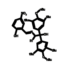 CCCCOc1c(C(C)(C)C)cc(C(O)(c2cc(C(C)(C)C)c(OCCCC)c(C(C)(C)C)c2)C(CC)N=Cc2cc([N+](=O)[O-])ccc2O)cc1C(C)(C)C